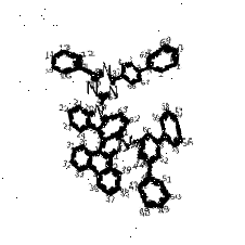 c1ccc(-c2ccc(-c3nc(-c4ccccc4)nc(-n4c5ccccc5c5c6c7c8ccccc8c8ccccc8c7n(-c7cc(-c8ccccc8)cc(-c8ccccc8)c7)c6ccc54)n3)cc2)cc1